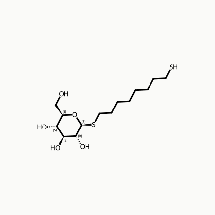 OC[C@H]1O[C@@H](SCCCCCCCCS)[C@H](O)[C@@H](O)[C@@H]1O